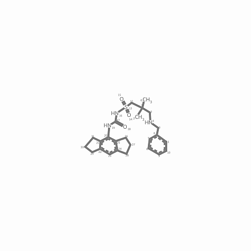 CC(C)(CNCc1ccccc1)CS(=O)(=O)NC(=O)Nc1c2c(cc3c1CCC3)CCC2